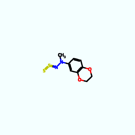 CN(N=S=S)c1ccc2c(c1)OCCO2